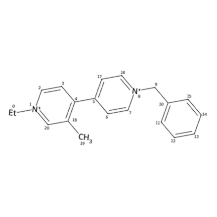 CC[n+]1ccc(-c2cc[n+](Cc3ccccc3)cc2)c(C)c1